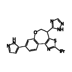 CC(C)c1nc2c(s1)C(c1ncn[nH]1)COc1cc(-c3ccn[nH]3)ccc1-2